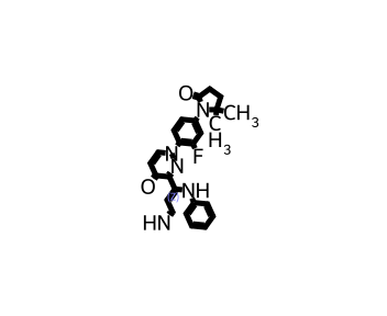 CC1(C)CCC(=O)N1c1ccc(-n2ccc(=O)c(/C(=C/C=N)Nc3ccccc3)n2)c(F)c1